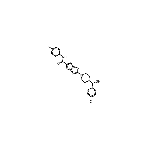 O=C(Nc1ccc(F)cc1)c1cc2sc(N3CCC(C(O)c4ccc(Cl)cc4)CC3)nc2s1